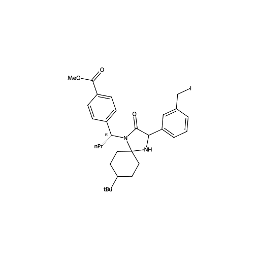 CCC[C@H](c1ccc(C(=O)OC)cc1)N1C(=O)C(c2cccc(CI)c2)NC12CCC(C(C)(C)C)CC2